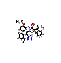 CNC1CCC(N(Cc2cc(-c3ccccc3)ccc2OC)C(=O)c2sc3ccccc3c2C)CC1